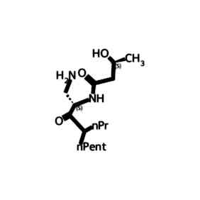 CCCCCC(CCC)C(=O)[C@H](CN)NC(=O)C[C@H](C)O